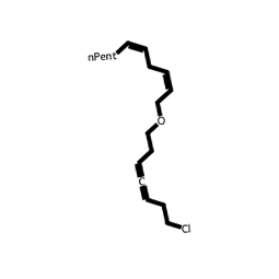 CCCCC/C=C\C/C=C\COCCC=C=CCCCl